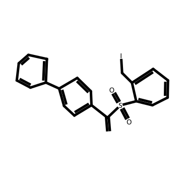 C=C(c1ccc(-c2ccccc2)cc1)S(=O)(=O)c1ccccc1CI